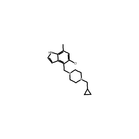 Cc1cc(Cl)c(CN2CCN(CC3CC3)CC2)c2cc[nH]c12